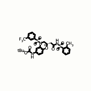 Cc1ccccc1S(=O)(=O)NC(=O)C[C@H]1CN(S(=O)(=O)c2cccc(C(F)(F)F)c2)c2cc(NC(=O)OC(C)(C)C)ccc2O1